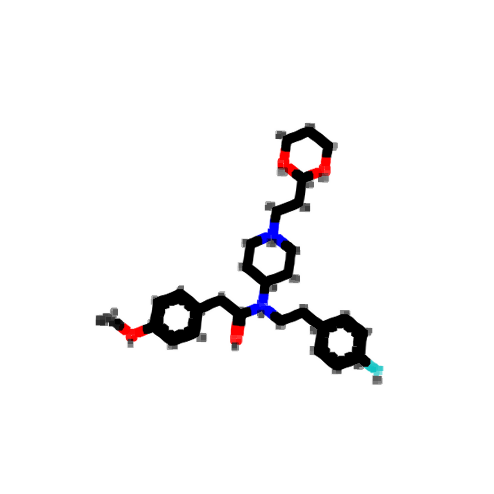 CCCOc1ccc(CC(=O)N(CCc2ccc(F)cc2)C2CCN(CCC3OCCCO3)CC2)cc1